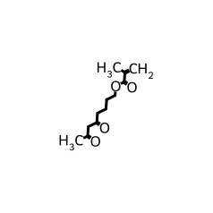 C=C(C)C(=O)OCCCCC(=O)CC(C)=O